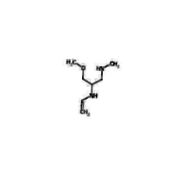 C=CNC(CNC)COC